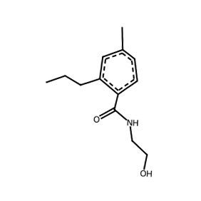 CCCc1cc(C)ccc1C(=O)NCCO